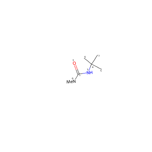 CNC(=O)NC(C)(C)C